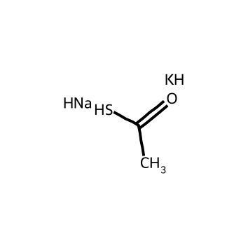 CC(=O)S.[KH].[NaH]